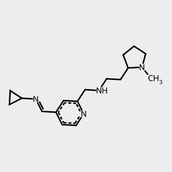 CN1CCCC1CCNCc1cc(C=NC2CC2)ccn1